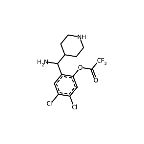 NC(c1cc(Cl)c(Cl)cc1OC(=O)C(F)(F)F)C1CCNCC1